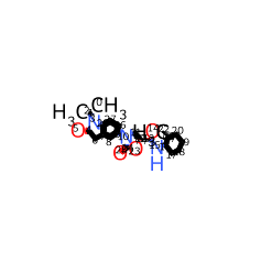 CC(C)N1C(=O)Cc2cc(N3C[C@@H](C(=O)NC4CCCC[C@@H]4C)OC3=O)ccc21